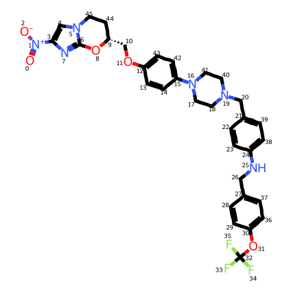 O=[N+]([O-])c1cn2c(n1)O[C@@H](COc1ccc(N3CCN(Cc4ccc(NCc5ccc(OC(F)(F)F)cc5)cc4)CC3)cc1)CC2